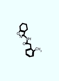 Cc1ccccc1CC(=O)Nc1noc2c1CCCC2